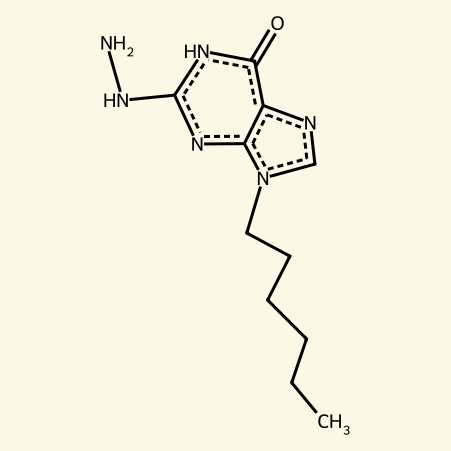 CCCCCCn1cnc2c(=O)[nH]c(NN)nc21